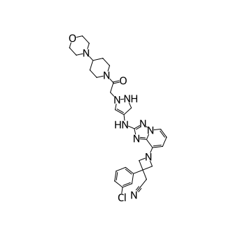 N#CCC1(c2cccc(Cl)c2)CN(c2cccn3nc(NC4=CN(CC(=O)N5CCC(N6CCOCC6)CC5)NC4)nc23)C1